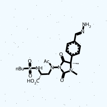 CCCCS(=O)(=O)N[C@H](CN(C(C)=O)N1C(=O)N(C)[C@](C)(c2ccc(C=NN)cc2)C1=O)C(=O)O